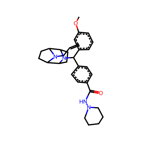 C=CCN1C2CCC1C1CCC2N1C(c1ccc(C(=O)NN2CCCCC2)cc1)c1cccc(OC)c1